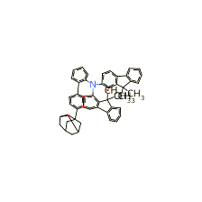 CC1(C)c2ccccc2-c2ccc(N(c3ccccc3-c3ccc(C45CC6CC(CC(C6)C4)C5)cc3)c3cccc4c3C(C)(C)c3ccccc3-4)cc21